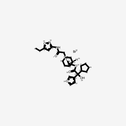 CCc1cc(NC(=O)C[N+]23CCC(CC2)[C@@H](OC(=O)C(O)(c2ccoc2)C2CCCC2)C3)no1.[Br-]